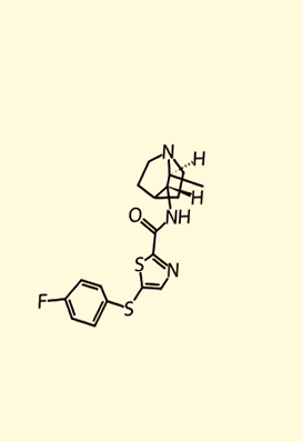 C[C@H]1[C@H](NC(=O)c2ncc(Sc3ccc(F)cc3)s2)C2CCN1CC2